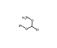 CCC(O[SiH3])OC(C)C